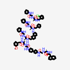 COc1cccc(CC(=O)N[C@@H](C)C(=O)NCC(=O)Nc2ccccc2)c1.C[C@H](NC(=O)Cc1ccc2ccccc2c1)C(=O)NCC(=O)Nc1ccccc1.C[C@H](NC(=O)Cc1cccc2ccccc12)C(=O)NCC(=O)Nc1ccccc1.C[C@H](NC(=O)Cc1ccccc1)C(=O)NCC(=O)Nc1ccccc1.C[C@H](NC(=O)Cc1ccccc1Cl)C(=O)NCC(=O)Nc1ccccc1